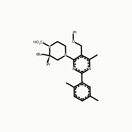 Cc1ccc(C)c(-c2nc(C)c(COC(C)C)c(N3CCN(C(=O)O)[C@@](C(C)C)(C(C)(C)C)C3)n2)c1